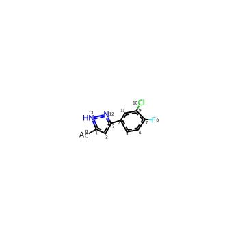 CC(=O)c1cc(-c2ccc(F)c(Cl)c2)n[nH]1